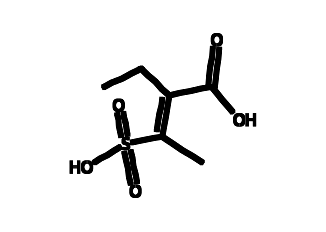 CCC(C(=O)O)=C(C)S(=O)(=O)O